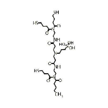 CCCCC(=O)N(CCNC(=O)CCN(CCC[Si](O)(O)O)CCC(=O)NCCN(C(=O)CCCS)C(=O)CCCS)C(=O)CCCS